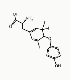 N[C@@H](CC1=CC(I)(I)C(Oc2ccc(O)cc2)C(I)=C1)C(=O)O